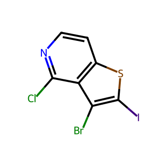 Clc1nccc2sc(I)c(Br)c12